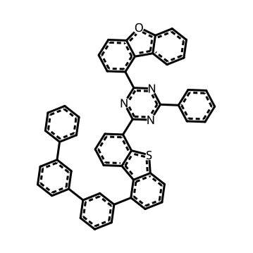 c1ccc(-c2cccc(-c3cccc(-c4cccc5sc6c(-c7nc(-c8ccccc8)nc(-c8cccc9oc%10ccccc%10c89)n7)cccc6c45)c3)c2)cc1